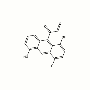 O=CC(=O)c1c2cccc(O)c2cc2c(F)ccc(O)c12